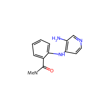 CNC(=O)c1ccccc1Nc1ccncc1N